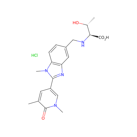 Cc1cc(-c2nc3cc(CN[C@H](C(=O)O)[C@@H](C)O)ccc3n2C)cn(C)c1=O.Cl